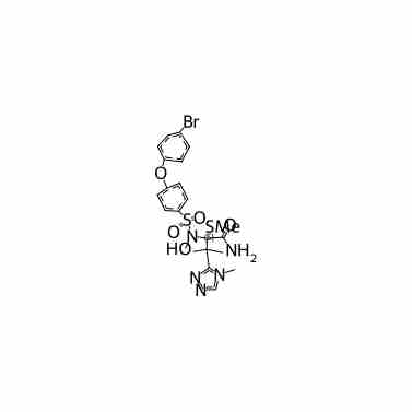 CS[C@@](C(N)=O)(N(O)S(=O)(=O)c1ccc(Oc2ccc(Br)cc2)cc1)C(C)(C)c1nncn1C